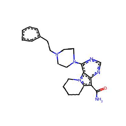 NC(=O)c1c2n(c3c(N4CCN(CCc5ccccc5)CC4)ncnc13)CCCC2